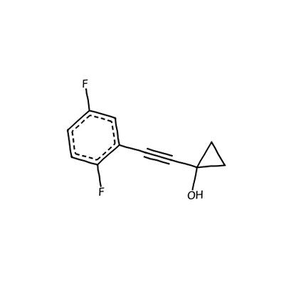 OC1(C#Cc2cc(F)ccc2F)CC1